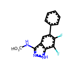 O=C(O)Nc1n[nH]c2c(F)c(F)c(-c3ccccc3)cc12